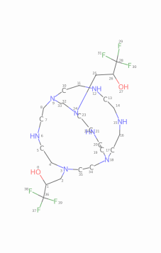 OC(CN1CCNCCN2CCNCCNCCN(CCNCCN(CC(O)C(F)(F)F)CC2)CC1)C(F)(F)F